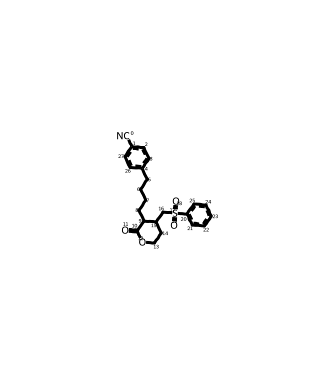 N#Cc1ccc(CCCCC2C(=O)OCCC2CS(=O)(=O)c2ccccc2)cc1